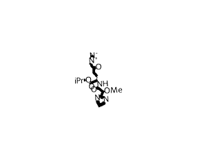 CO[C@@H](C(=O)N[C@@H](CCC(=O)C=[N+]=[N-])C(=O)OC(C)C)c1ncccn1